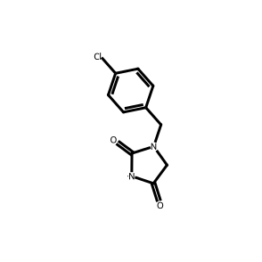 O=C1CN(Cc2ccc(Cl)cc2)C(=O)[N]1